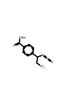 COC(=O)c1ccc(C(CC(F)(F)F)N=[N+]=[N-])cc1